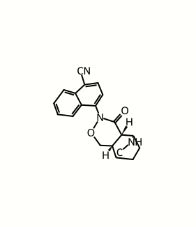 N#Cc1ccc(N2OC[C@H]3C4CCC(NC4)[C@H]3C2=O)c2ccccc12